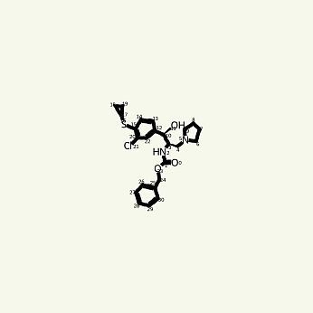 O=C(N[C@H](CN1CCCC1)[C@H](O)c1ccc(SC2CC2)c(Cl)c1)OCc1ccccc1